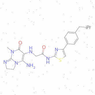 CC(C)Cc1ccc(-c2csc(NC(=O)CNC3=C(N)N4CCN=C4N(C)C3=O)n2)cc1